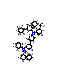 CC1(C)c2ccccc2-c2c(N(c3ccc(-c4ccc5c(c4)N(c4ccccc4)P(=O)(c4ccccc4)N5c4ccccc4)cc3)c3cccc(-c4ccccc4)c3)cccc21